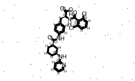 O=C(N[C@@H](Cc1ccc(NC(=O)[C@@H]2CCC[C@H](Nc3ccccn3)C2)cc1)C(=O)O)c1c(Cl)cccc1Cl